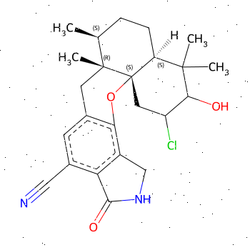 C[C@H]1CC[C@H]2C(C)(C)C(O)C(Cl)C[C@]23Oc2c(cc(C#N)c4c2CNC4=O)C[C@]13C